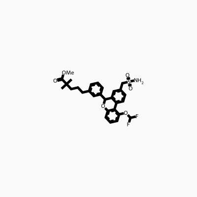 COC(=O)C(C)(C)CCCc1cccc(C2Oc3cccc(OC(F)F)c3-c3ccc(CS(N)(=O)=O)cc32)c1